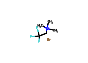 C[N+](C)(C)CC(F)(F)F.[Br-]